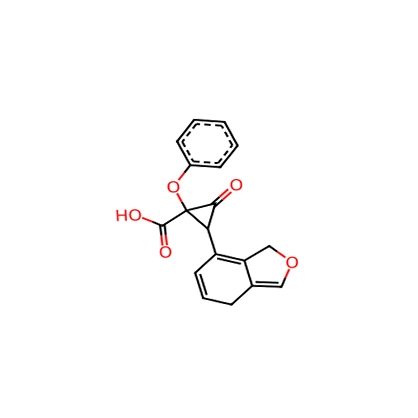 O=C(O)C1(Oc2ccccc2)C(=O)C1C1=C2COC=C2CC=C1